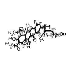 CN(C)[C@@H]1C(O)=C(C(N)=O)C(=O)[C@@]2(O)C(O)=C3C(=O)c4c(O)c(NC(=O)CNC(C)(C)C)cc(F)c4C[C@@]3(C)C[C@@H]12